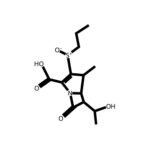 CCC[S+]([O-])C1=C(C(=O)O)N2C(=O)C(C(C)O)C2C1C